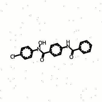 O=C(Nc1ccc(C(=O)N(O)c2ccc(Cl)cc2)cc1)c1ccccc1